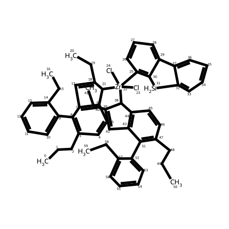 CCCc1ccc2c(c1-c1ccccc1CC)C=C(CC)[CH]2[Zr]([Cl])([Cl])([c]1cccc2c1[SiH2]c1ccccc1-2)[CH]1C(CC)=Cc2c1ccc(CCC)c2-c1ccccc1CC